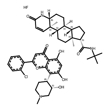 CC(C)(C)NC(=O)[C@H]1CC[C@H]2[C@@H]3CC[C@H]4NC(=O)C=C[C@]4(C)[C@H]3CC[C@]12C.CN1CC[C@H](c2c(O)cc(O)c3c(=O)cc(-c4ccccc4Cl)oc23)[C@H](O)C1.F